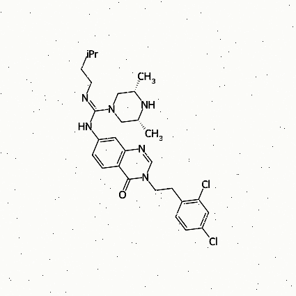 CC(C)CC/N=C(/Nc1ccc2c(=O)n(CCc3ccc(Cl)cc3Cl)cnc2c1)N1C[C@@H](C)N[C@@H](C)C1